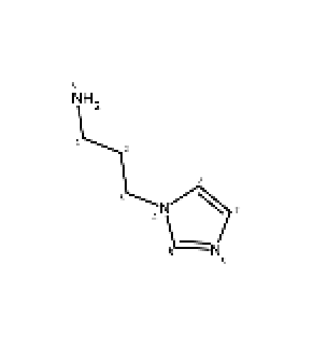 NCCCn1[c]ncc1